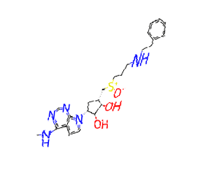 CNc1ncnc2c1ccn2[C@@H]1C[C@H](C[S+]([O-])CCCNCCc2ccccc2)[C@@H](O)[C@H]1O